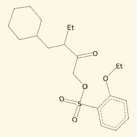 CCOc1ccccc1S(=O)(=O)OCC(=O)C(CC)CC1CCCCC1